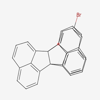 Brc1cc2c3c(cccc3c1)C13c4cccc5cccc(c45)C21c1cccc2cccc3c12